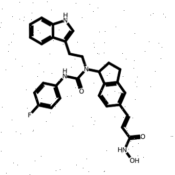 O=C(/C=C/c1ccc2c(c1)CCC2N(CCc1c[nH]c2ccccc12)C(=O)Nc1ccc(F)cc1)NO